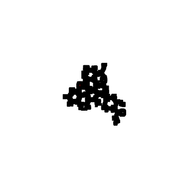 C=CC(=O)N1C[C@H](C)N(c2nc(=O)n(-c3c(C(C)C)ccnc3C(C)C)c3nc(-c4c(O)cccc4F)c(Cl)cc23)C[C@H]1C